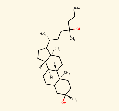 COCCC(C)(O)CC[C@@H](C)[C@H]1CC[C@H]2[C@@H]3CCC4C[C@@](C)(O)CC[C@]4(C)[C@H]3CC[C@]12C